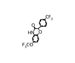 O=C1Nc2cc(OC(F)(F)F)ccc2OC1c1ccc(C(F)(F)F)cc1